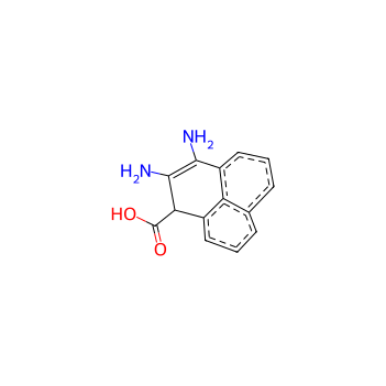 NC1=C(N)C(C(=O)O)c2cccc3cccc1c23